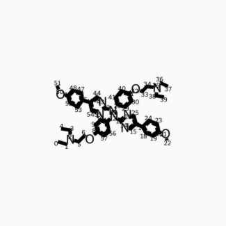 CCN(CC)CCOc1ccc(N(c2ncc(-c3ccc(OC)cc3)cn2)N(c2ccc(OCCN(CC)CC)cc2)c2ncc(-c3ccc(OC)cc3)cn2)cc1